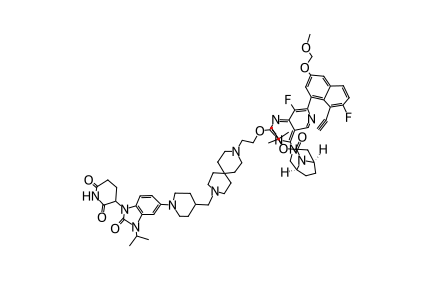 C#Cc1c(F)ccc2cc(OCOC)cc(-c3ncc4c(N5C[C@H]6CC[C@@H](C5)N6C(=O)OC(C)(C)C)nc(OCCN5CCC6(CC5)CCN(CC5CCN(c7ccc8c(c7)n(C(C)C)c(=O)n8C7CCC(=O)NC7=O)CC5)CC6)nc4c3F)c12